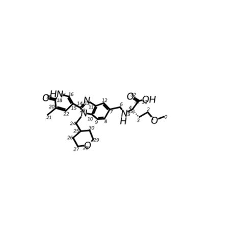 COCC[C@H](NCc1ccc2c(c1)nc(-c1c[nH]c(=O)c(C)c1)n2CC1CCOCC1)C(=O)O